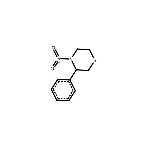 O=[SH](=O)N1CCSCC1c1ccccc1